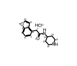 Cl.O=C(Cc1cccc2occc12)NC1CCNCC1